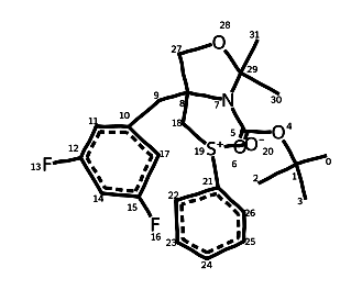 CC(C)(C)OC(=O)N1C(Cc2cc(F)cc(F)c2)(C[S+]([O-])c2ccccc2)COC1(C)C